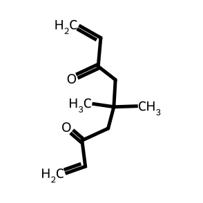 C=CC(=O)CC(C)(C)CC(=O)C=C